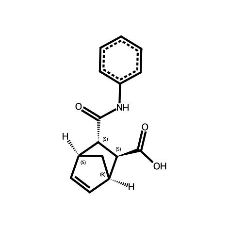 O=C(Nc1ccccc1)[C@@H]1[C@@H](C(=O)O)[C@H]2C=C[C@@H]1C2